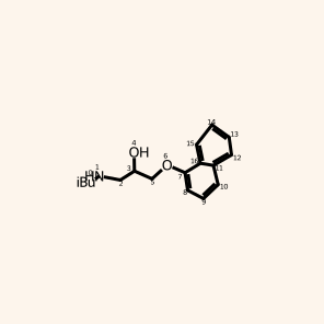 CCC(C)NCC(O)COc1cccc2ccccc12